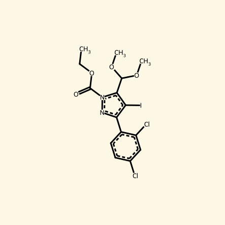 CCOC(=O)n1nc(-c2ccc(Cl)cc2Cl)c(I)c1C(OC)OC